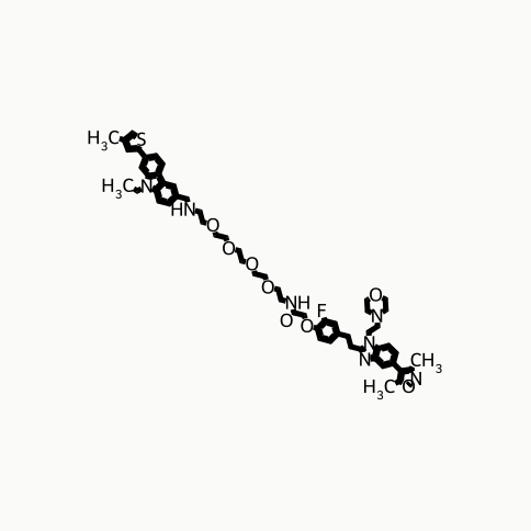 CCn1c2ccc(CNCCOCCOCCOCCOCCNC(=O)COc3ccc(CCc4nc5cc(-c6c(C)noc6C)ccc5n4CCN4CCOCC4)cc3F)cc2c2ccc(-c3cc(C)cs3)cc21